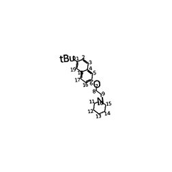 CC(C)(C)c1ccc2cc(OCCN3CCCCC3)ccc2c1